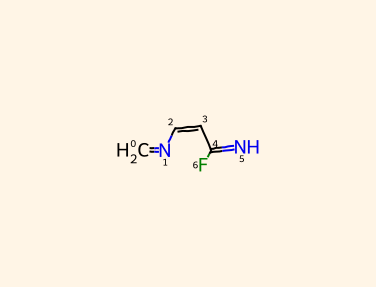 C=N/C=C\C(=N)F